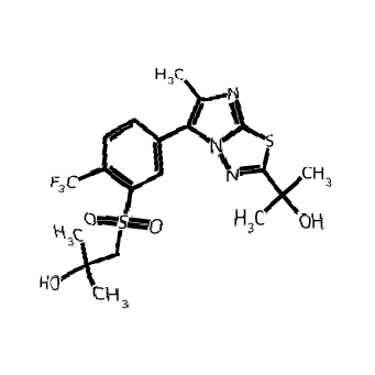 Cc1nc2sc(C(C)(C)O)nn2c1-c1ccc(C(F)(F)F)c(S(=O)(=O)CC(C)(C)O)c1